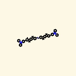 CC1CC(c2ccc(N(c3ccccc3)c3ccccc3)cc2)=CC2=C1c1cc3c(cc1C2(C)C)-c1ccc(/C=C/c2ccc4c(c2)C(C)(C)c2cc5c(cc2-4)C(C)(C)c2cc(-c4ccc(N(c6ccccc6)c6ccccc6)cc4)ccc2-5)cc1C3(C)C